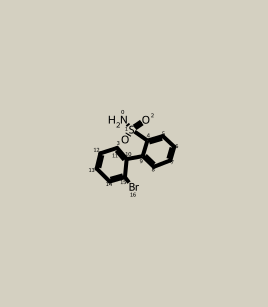 NS(=O)(=O)c1ccccc1-c1ccccc1Br